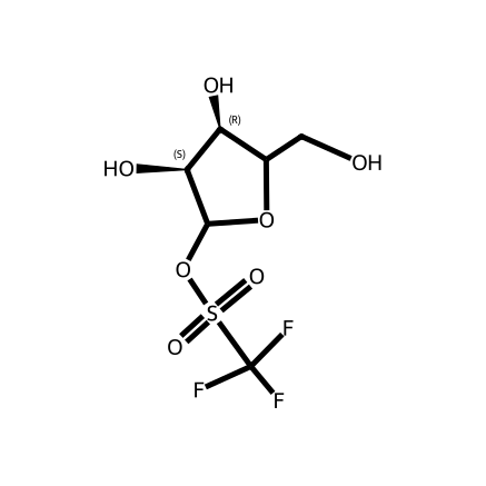 O=S(=O)(OC1OC(CO)[C@H](O)[C@@H]1O)C(F)(F)F